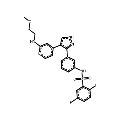 COCCNc1cc(-c2c[nH]nc2-c2cccc(NS(=O)(=O)c3cc(F)ccc3F)c2)ccn1